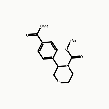 COC(=O)c1ccc(C2COCCN2C(=O)OC(C)(C)C)cc1